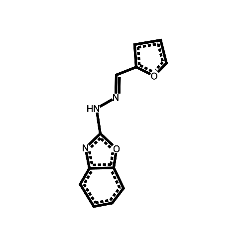 C(=N\Nc1nc2ccccc2o1)/c1ccco1